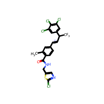 Cc1cc(/C=C/C(c2cc(Cl)c(Cl)c(Cl)c2)C(F)(F)F)ccc1C(=O)NCc1cnc(Cl)s1